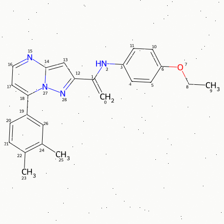 C=C(Nc1ccc(OCC)cc1)c1cc2nccc(-c3ccc(C)c(C)c3)n2n1